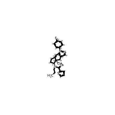 CCCN(C(=O)c1cccs1)[C@H]1CCC2=Cc3c(cnn3-c3ccc(F)cc3)C[C@@]21C